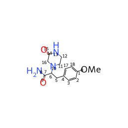 COc1ccc(CC(C(N)=O)N2CCNC(=O)C2)cc1